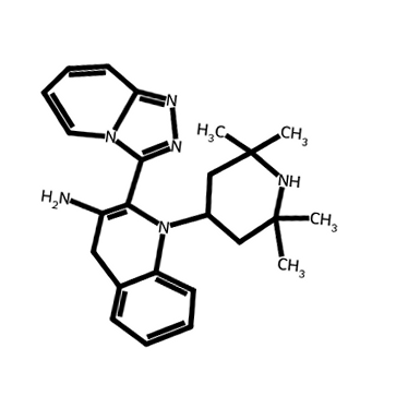 CC1(C)CC(N2C(c3nnc4ccccn34)=C(N)Cc3ccccc32)CC(C)(C)N1